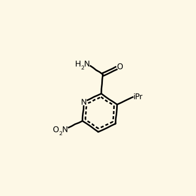 CC(C)c1ccc([N+](=O)[O-])nc1C(N)=O